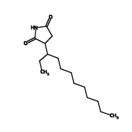 CCCCCCCCCC(CC)C1CC(=O)NC1=O